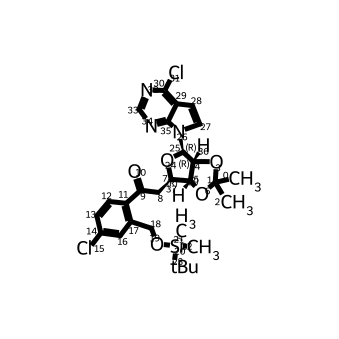 CC1(C)O[C@@H]2[C@H](O1)[C@@H](CC(=O)c1ccc(Cl)cc1CO[Si](C)(C)C(C)(C)C)O[C@H]2n1ccc2c(Cl)ncnc21